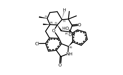 C[C@H]1CC[C@H]2C(C)(C)C(=O)[C@H](O)C[C@]23Oc2c(c(Cl)cc4c2[C@@H](c2ccccc2O)NC4=O)C[C@]13C